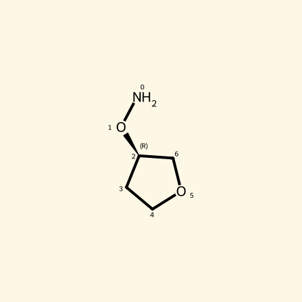 NO[C@@H]1CCOC1